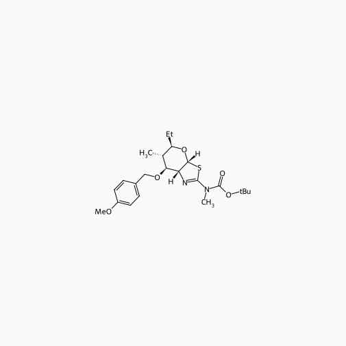 CC[C@H]1O[C@@H]2SC(N(C)C(=O)OC(C)(C)C)=N[C@@H]2[C@@H](OCc2ccc(OC)cc2)[C@@H]1C